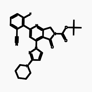 CC(C)(C)OC(=O)N1Cc2nc(-c3c(F)cccc3C#N)cc(-n3ccc(N4CCCCC4)n3)c2C1=O